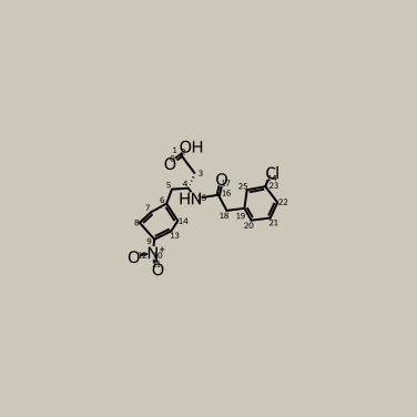 O=C(O)C[C@@H](Cc1ccc([N+](=O)[O-])cc1)NC(=O)Cc1cccc(Cl)c1